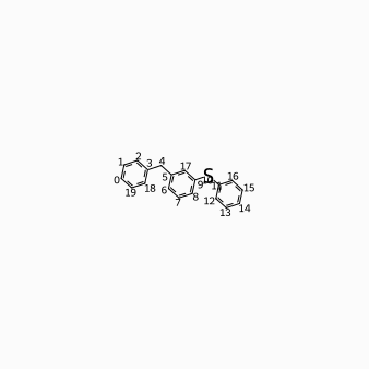 c1ccc(Cc2cccc(Sc3ccccc3)c2)cc1